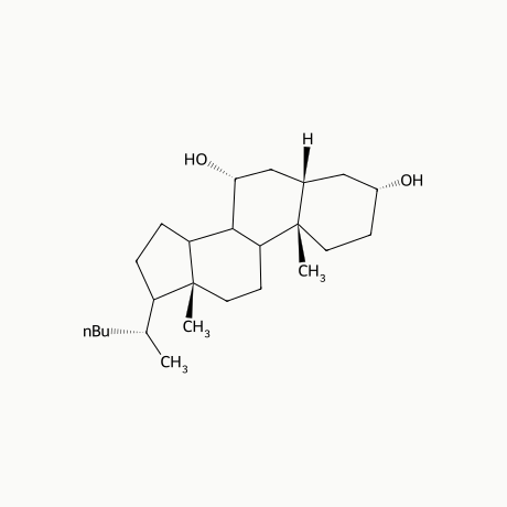 CCCC[C@@H](C)C1CCC2C3C(CC[C@@]21C)[C@@]1(C)CC[C@@H](O)C[C@H]1C[C@H]3O